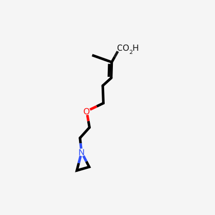 CC(=CCCOCCN1CC1)C(=O)O